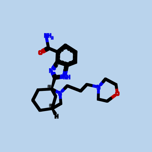 NC(=O)c1cccc2[nH]c([C@@]34CCC[C@@H](CN3CCCN3CCOCC3)C4)nc12